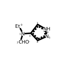 CCN([C]=O)c1cn[nH]c1